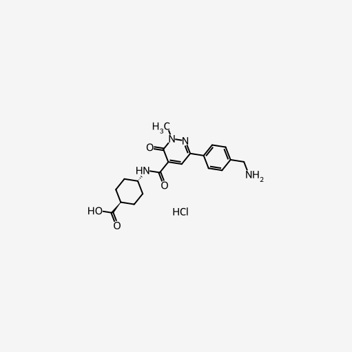 Cl.Cn1nc(-c2ccc(CN)cc2)cc(C(=O)N[C@H]2CC[C@H](C(=O)O)CC2)c1=O